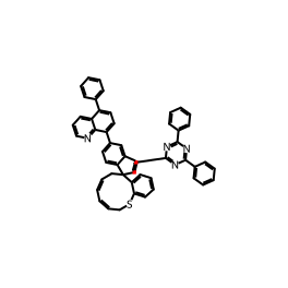 C1=C\CSc2ccccc2C2(C\C=C/1)c1ccc(-c3nc(-c4ccccc4)nc(-c4ccccc4)n3)cc1-c1cc(-c3ccc(-c4ccccc4)c4cccnc34)ccc12